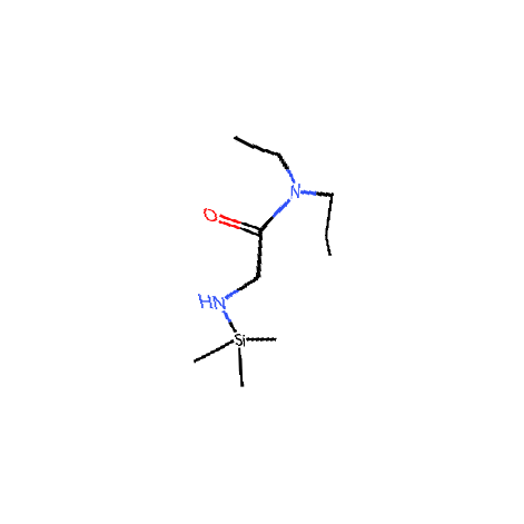 CCN(CC)C(=O)CN[Si](C)(C)C